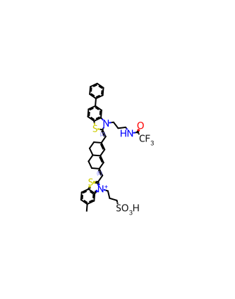 Cc1ccc2sc(/C=C3/C=C4C=C(/C=C5\Sc6ccc(-c7ccccc7)cc6N5CCCNC(=O)C(F)(F)F)CCC4CC3)[n+](CCCS(=O)(=O)O)c2c1